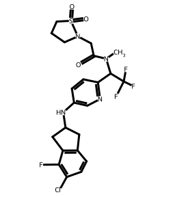 CN(C(=O)CN1CCCS1(=O)=O)C(c1ccc(NC2Cc3ccc(Cl)c(F)c3C2)cn1)C(F)(F)F